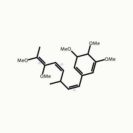 COC1=CC(/C=C\C(C)/C=C\C(OC)=C(/C)OC)=CC(OC)C1OC